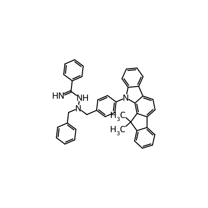 CC1(C)c2ccccc2-c2ccc3c4ccccc4n(-c4ccc(CN(Cc5ccccc5)NC(=N)c5ccccc5)cc4)c3c21